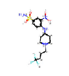 NS(=O)(=O)c1ccc(NC2CCN(CCCC(F)(F)F)CC2)c([N+](=O)[O-])c1